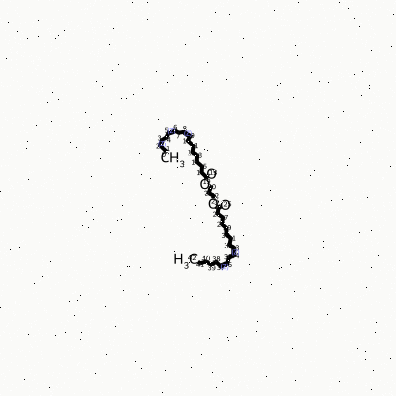 CC/C=C\C/C=C\C/C=C\CCCCCCCC(=O)OCCCOC(=O)CCCCCCC/C=C\C/C=C\CCCCC